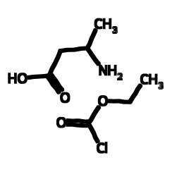 CC(N)CC(=O)O.CCOC(=O)Cl